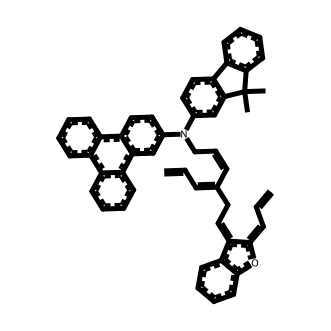 C=C/C=C(\C=C/CN(c1ccc2c(c1)C(C)(C)c1ccccc1-2)c1ccc2c3ccccc3c3ccccc3c2c1)C/C=c1\c(=C/C=C)oc2ccccc12